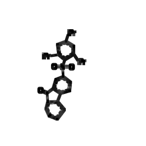 CC(C)c1cc(C(C)C)c(S(=O)(=O)c2ccc3c(c2)C(=O)c2ccccc2-3)c(C(C)C)c1